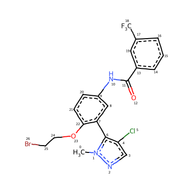 Cn1ncc(Cl)c1-c1cc(NC(=O)c2cccc(C(F)(F)F)c2)ccc1OCCBr